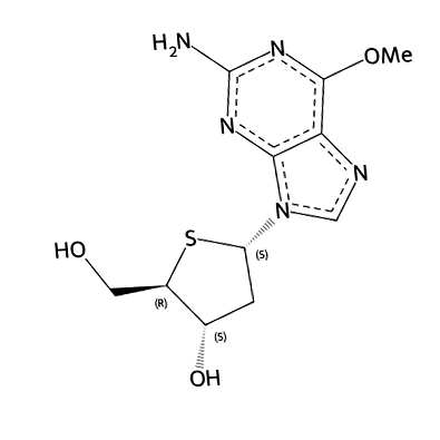 COc1nc(N)nc2c1ncn2[C@@H]1C[C@H](O)[C@@H](CO)S1